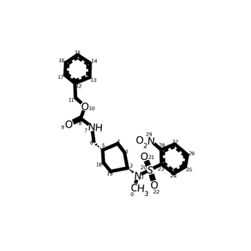 CN([C@H]1CC[C@@H](CNC(=O)OCc2ccccc2)CC1)S(=O)(=O)c1ccccc1[N+](=O)[O-]